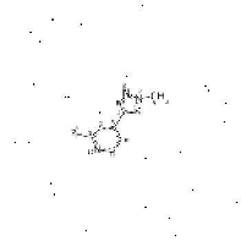 [2H]c1cc(-c2cnn(C)c2)ccn1